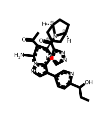 CCC(O)c1ccc(-c2cnn3c(N)c(C(C)=O)c([C@H]4C[C@H]5CC[C@@H](C4)N5C(=O)c4nnc[nH]4)nc23)cn1